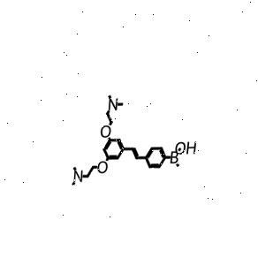 CB(O)c1ccc(/C=C/c2cc(OCCN(C)C)cc(OCCN(C)C)c2)cc1